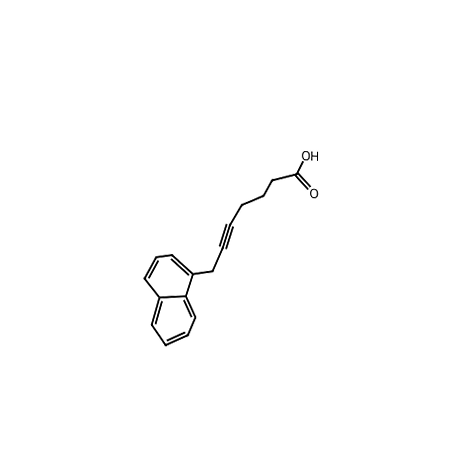 O=C(O)CCCC#CCc1cccc2ccccc12